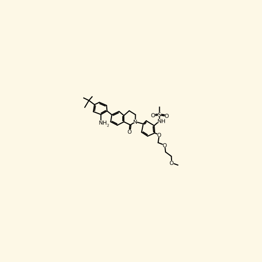 COCCOCOc1ccc(N2CCc3cc(-c4ccc(C(C)(C)C)cc4N)ccc3C2=O)cc1NS(C)(=O)=O